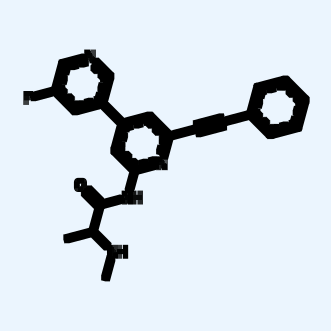 CNC(C)C(=O)Nc1cc(-c2cncc(F)c2)cc(C#Cc2ccccc2)n1